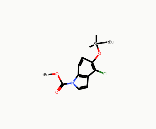 CC(C)(C)OC(=O)n1ccc2c(Cl)c(O[Si](C)(C)C(C)(C)C)ccc21